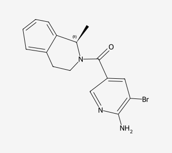 C[C@@H]1c2ccccc2CCN1C(=O)c1cnc(N)c(Br)c1